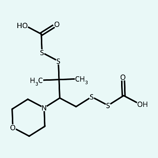 CC(C)(SSC(=O)O)C(CSSC(=O)O)N1CCOCC1